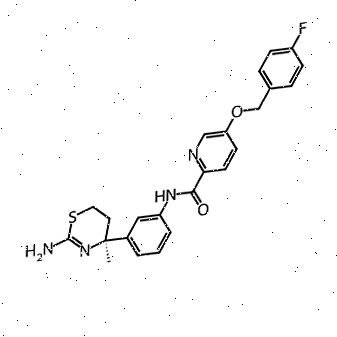 C[C@@]1(c2cccc(NC(=O)c3ccc(OCc4ccc(F)cc4)cn3)c2)CCSC(N)=N1